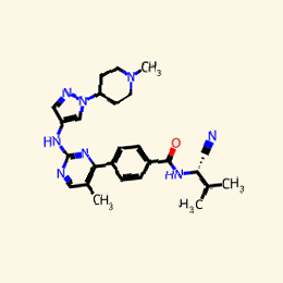 Cc1cnc(Nc2cnn(C3CCN(C)CC3)c2)nc1-c1ccc(C(=O)N[C@H](C#N)C(C)C)cc1